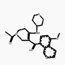 COc1ccc(C(=N)C2=C(NC3CCOCC3)CCN(C(C)=O)C2)c2cnccc12